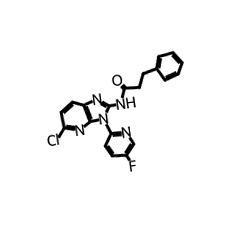 O=C(CCc1ccccc1)Nc1nc2ccc(Cl)nc2n1-c1ccc(F)cn1